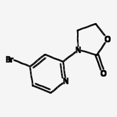 O=C1OCCN1c1cc(Br)ccn1